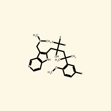 COc1ccc(F)cc1C(C)(C)CC(O)(Cc1[nH]c2ccncc2c1CN(C)C)C(F)(F)F